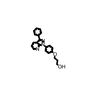 OCCCOc1ccc(-n2nc(-c3ccccc3)c3cccnc32)cc1